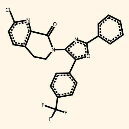 O=C1c2nc(Cl)ccc2CCN1c1nc(-c2ccccc2)oc1-c1ccc(C(F)(F)F)cc1